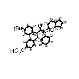 CC(C)(C)c1ccc(C(Cc2ccc(C(=O)O)cc2)C(=O)N(c2ccccc2)c2ccc3cccc-3o2)cc1